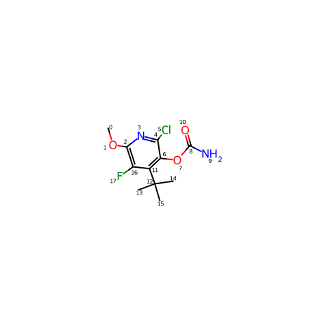 COc1nc(Cl)c(OC(N)=O)c(C(C)(C)C)c1F